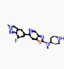 CN(c1nc2cnc(-c3cc(F)c4nn(C)cc4c3)cc2s1)C1CCNCC1